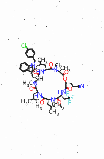 CC(C)C[C@@H]1NC(=O)[Si@H](Cc2cn(Cc3ccc(Cl)cc3)c3ccccc23)N(C)C(=O)[C@H](CC(C)C)NC(=O)[C@H](CC(C)C)N(C)C(=O)[C@H](CC(F)(F)F)NC(=O)[C@@H](CCC#N)OC(=O)[C@H](C)N(C)C1=O